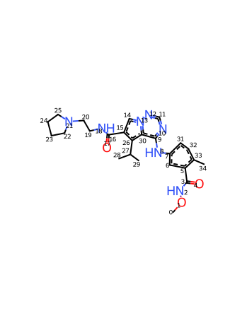 CONC(=O)c1cc(Nc2ncnn3cc(C(=O)NCCN4CCCC4)c(C(C)C)c23)ccc1C